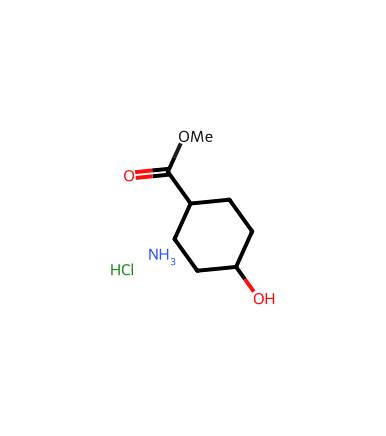 COC(=O)C1CCC(O)CC1.Cl.N